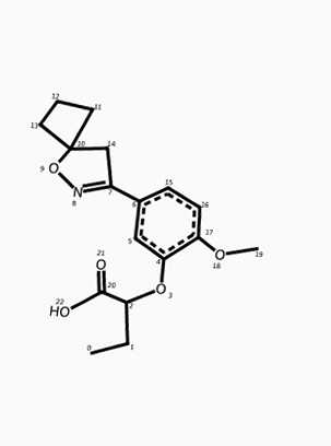 CCC(Oc1cc(C2=NOC3(CCC3)C2)ccc1OC)C(=O)O